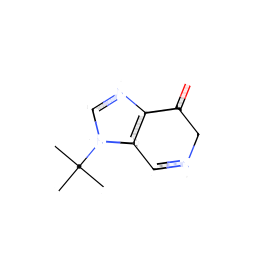 CC(C)(C)n1cnc2c1C=NCC2=O